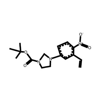 C=Cc1cc(N2CCN(C(=O)OC(C)(C)C)C2)ccc1[N+](=O)[O-]